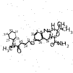 CN(C)C(=O)NC1=Nc2ccc(OCCCC(=O)N(C)C3CCCCC3)cc2CN1CC(N)=O